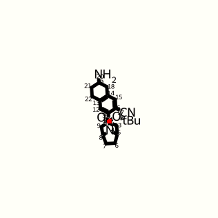 CC(C)(C)OC(=O)N1C2CCC1CN(c1cc3c(cc1C#N)CC(N)CC3)C2